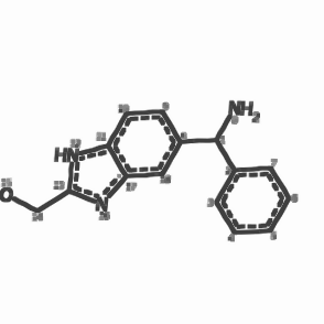 NC(c1ccccc1)c1ccc2[nH]c(CO)nc2c1